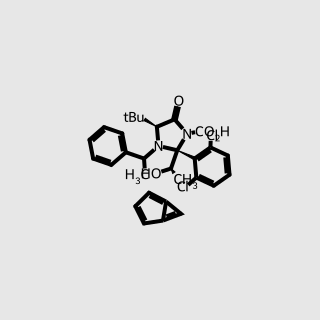 CC(c1ccccc1)N1[C@@H](C(C)(C)C)C(=O)N(C(=O)O)[C@]1(c1c(Cl)cccc1Cl)[C@@H](C)O.c1cc2cc-2c1